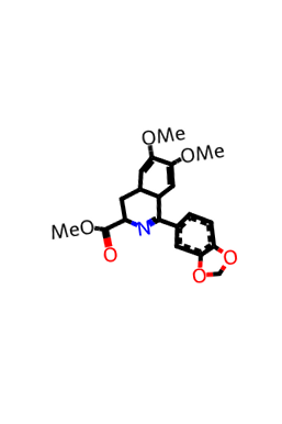 COC(=O)C1CC2C=C(OC)C(OC)=CC2C(c2ccc3c(c2)OCO3)=N1